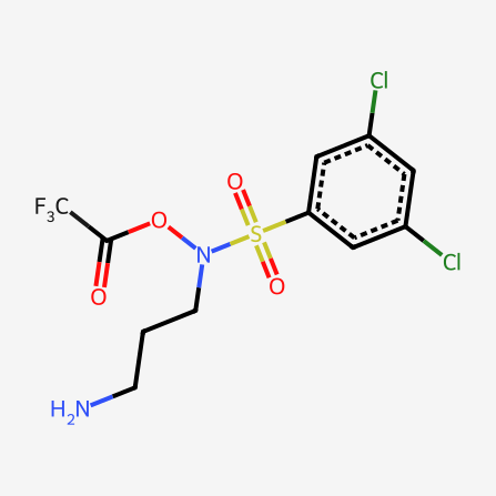 NCCCN(OC(=O)C(F)(F)F)S(=O)(=O)c1cc(Cl)cc(Cl)c1